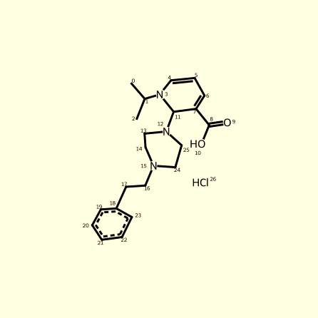 CC(C)N1C=CC=C(C(=O)O)C1N1CCN(CCc2ccccc2)CC1.Cl